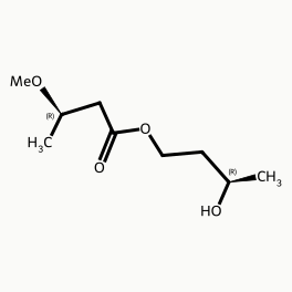 CO[C@H](C)CC(=O)OCC[C@@H](C)O